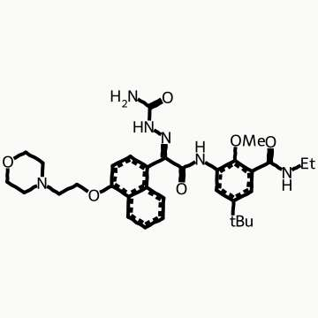 CCNC(=O)c1cc(C(C)(C)C)cc(NC(=O)/C(=N/NC(N)=O)c2ccc(OCCN3CCOCC3)c3ccccc23)c1OC